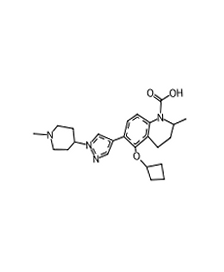 CC1CCc2c(ccc(-c3cnn(C4CCN(C)CC4)c3)c2OC2CCC2)N1C(=O)O